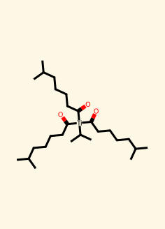 CC(C)CCCC[C](=O)[Ti]([C](=O)CCCCC(C)C)([C](=O)CCCCC(C)C)[CH](C)C